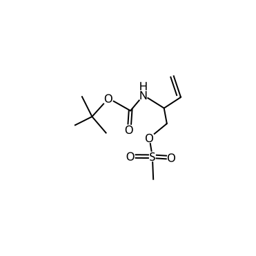 C=CC(COS(C)(=O)=O)NC(=O)OC(C)(C)C